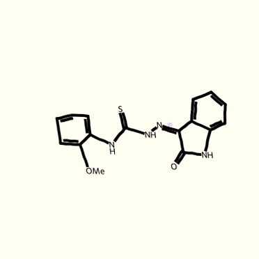 COc1ccccc1NC(=S)N/N=C1\C(=O)Nc2ccccc21